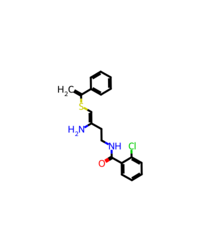 C=C(S/C=C(\N)CCNC(=O)c1ccccc1Cl)c1ccccc1